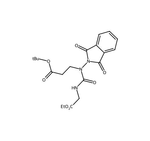 CCOC(=O)CNC(=O)N(CCC(=O)OC(C)(C)C)N1C(=O)c2ccccc2C1=O